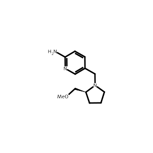 COC[C@@H]1CCCN1Cc1ccc(N)nc1